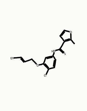 CCC=CCOc1cc(NC(=S)c2ccoc2C)ccc1Cl